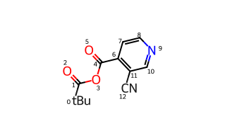 CC(C)(C)C(=O)OC(=O)c1ccncc1C#N